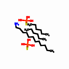 CCCCCC.CCCCCC.CCCCCCCCCCCCN.OP(O)(O)=S.OP(O)(O)=S